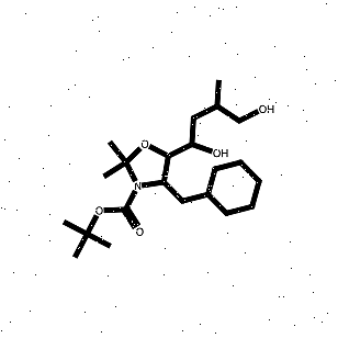 CC(CO)CC(O)C1OC(C)(C)N(C(=O)OC(C)(C)C)C1CC1CCCCC1